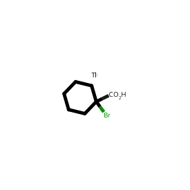 O=C(O)C1(Br)CCCCC1.[Tl]